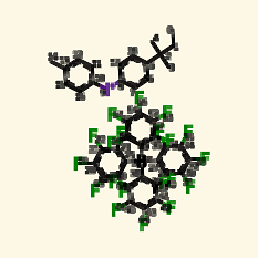 CCC(C)(C)c1ccc([I+]c2ccc(C)cc2)cc1.Fc1c(F)c(F)c([B-](c2c(F)c(F)c(F)c(F)c2F)(c2c(F)c(F)c(F)c(F)c2F)c2c(F)c(F)c(F)c(F)c2F)c(F)c1F